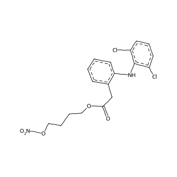 O=C(Cc1ccccc1Nc1c(Cl)cccc1Cl)OCCCCO[N+](=O)[O-]